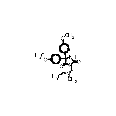 CCN(C)CN1C(=O)NC(c2ccc(OC)cc2)(c2ccc(OC)cc2)C1=O